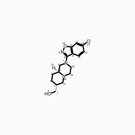 OC[C@@H]1CC[C@H]2CN(c3noc4cc(Cl)ccc34)CCN2C1